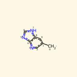 [CH2]c1cnc2nc[nH]c2c1